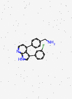 NCc1ccc(-c2ccnc3[nH]cc(-c4cccc(F)c4)c23)cc1